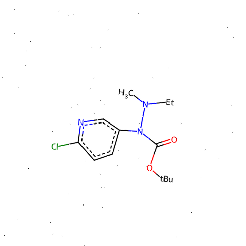 CCN(C)N(C(=O)OC(C)(C)C)c1ccc(Cl)nc1